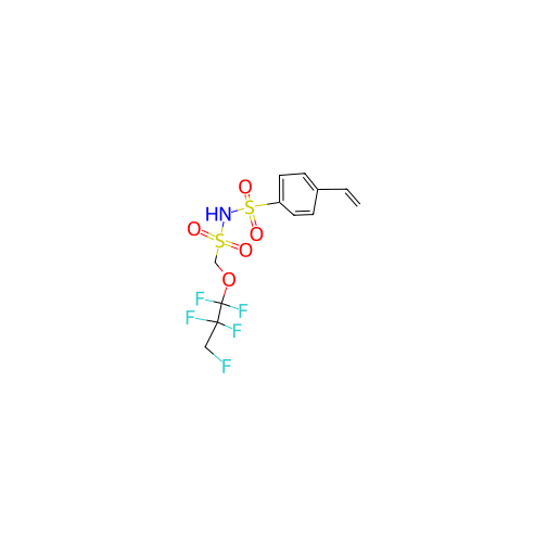 C=Cc1ccc(S(=O)(=O)NS(=O)(=O)COC(F)(F)C(F)(F)CF)cc1